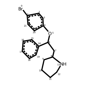 Brc1ccc(OC(CC2CCCCN2)c2ccccc2)cc1